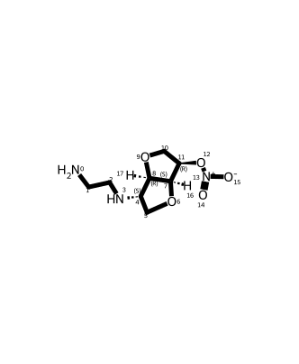 NCCN[C@H]1CO[C@H]2[C@@H]1OC[C@H]2O[N+](=O)[O-]